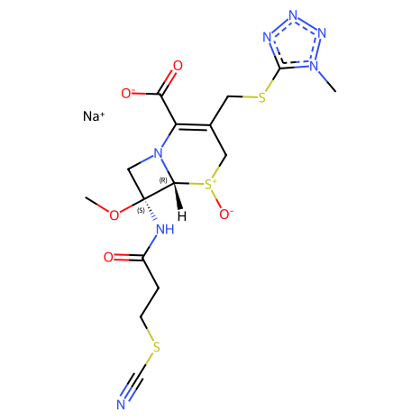 CO[C@@]1(NC(=O)CCSC#N)CN2C(C(=O)[O-])=C(CSc3nnnn3C)C[S+]([O-])[C@@H]21.[Na+]